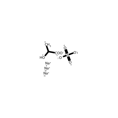 CC(O)C(=O)[O-].O=S(=O)([O-])[O-].[Na+].[Na+].[Na+]